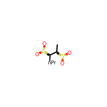 CCCC(C(C)=S(=O)=O)=S(=O)=O